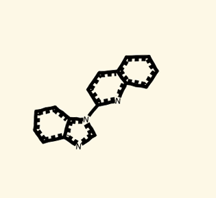 c1ccc2nc(-n3cnc4ccccc43)ccc2c1